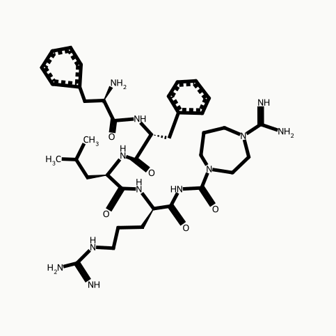 CC(C)C[C@@H](NC(=O)[C@@H](Cc1ccccc1)NC(=O)[C@H](N)Cc1ccccc1)C(=O)N[C@H](CCCNC(=N)N)C(=O)NC(=O)N1CCCN(C(=N)N)CC1